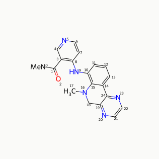 CNC(=O)c1cnccc1Nc1cccc2c1N(C)Cc1nccnc1-2